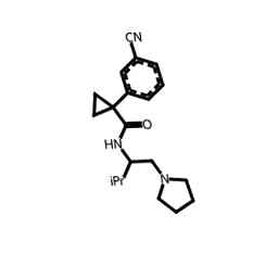 CC(C)C(CN1CCCC1)NC(=O)C1(c2cccc(C#N)c2)CC1